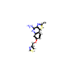 CCCc1nc2c(N)nc3cc(OCc4cscn4)ccc3c2s1